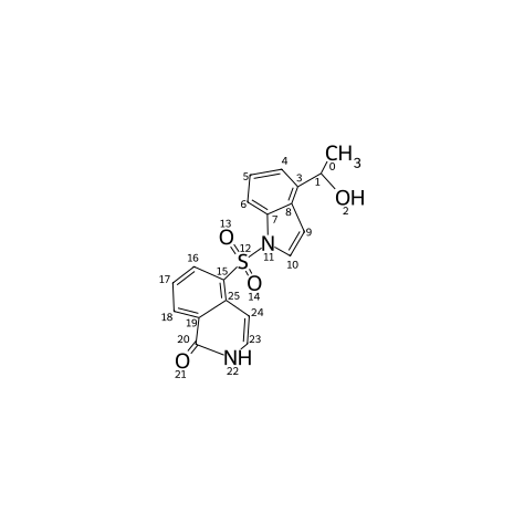 CC(O)c1cccc2c1ccn2S(=O)(=O)c1cccc2c(=O)[nH]ccc12